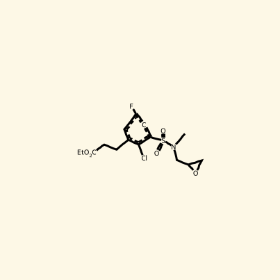 CCOC(=O)CCc1cc(F)cc(S(=O)(=O)N(C)CC2CO2)c1Cl